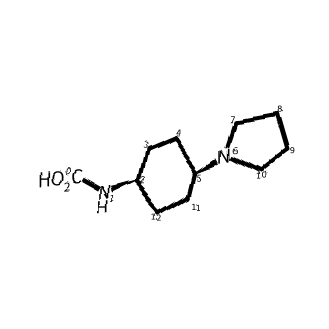 O=C(O)N[C@H]1CC[C@@H](N2CCCC2)CC1